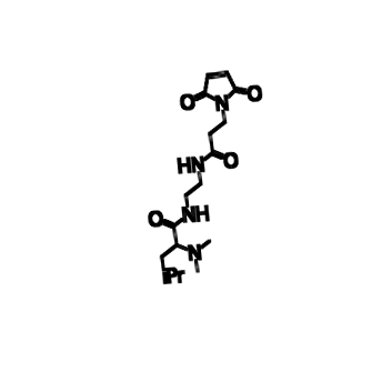 CC(C)CC(C(=O)NCCNC(=O)CCN1C(=O)C=CC1=O)N(C)C